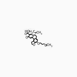 COCCCOc1cc2c(c3c1OCC3)-c1cc(=O)c(C(=O)O)cn1[C@H](C(C)C)C2